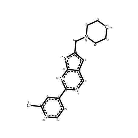 Clc1cc(-c2ncc3cc(CN4CCOCC4)sc3n2)ccn1